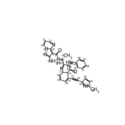 C[C@@H](NC(=O)c1c(N)nn2cccnc12)C1=NC2C=CC=C(C#Cc3ccn(C)n3)C2C(=O)N1Nc1ccccc1